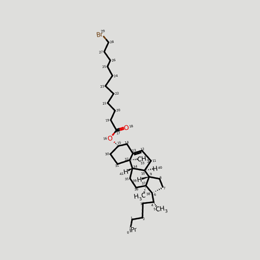 CC(C)CCC[C@@H](C)[C@H]1CC[C@H]2[C@@H]3CC=C4C[C@@H](OC(=O)CCCCCCCCCCBr)CC[C@]4(C)[C@H]3CC[C@]12C